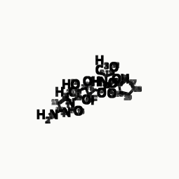 C[C@H](N[P@@](=O)(OC[C@@]1(F)O[C@@H](n2ccc(N)nc2=O)[C@](C)(O)[C@@H]1O)Oc1ccccc1)C(=O)O